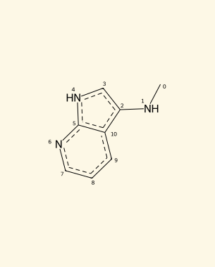 CNc1c[nH]c2ncccc12